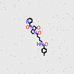 Cc1ccc(C(=O)NCCCCC(=O)N2CCC3C2C(=O)CN3C(=O)c2ccccn2)cc1